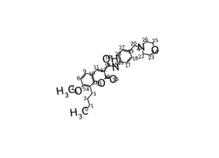 CCCCc1c(OC)ccc2cc(C(=O)Nc3ccc(CN4CCOCC4)cc3)c(=O)oc12